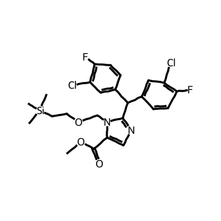 COC(=O)c1cnc(C(c2ccc(F)c(Cl)c2)c2ccc(F)c(Cl)c2)n1COCC[Si](C)(C)C